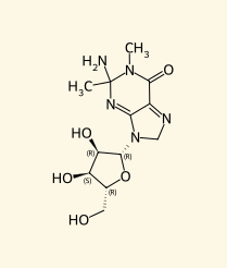 CN1C(=O)C2=NCN([C@@H]3O[C@H](CO)[C@@H](O)[C@H]3O)C2=NC1(C)N